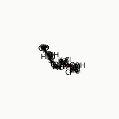 CN(CCN(C)C(=O)Oc1cc2c(c3ccccc13)[C@H](CCl)CN2C(=O)C12CC(C(=O)N3C[C@@H](CCl)c4c3cc(OO)c3ccccc43)(C1)C2)C(=O)OCCSSC(C)(C)[C@H](NC(=O)CCCCCN1C(=O)C=CC1=O)C(=O)O